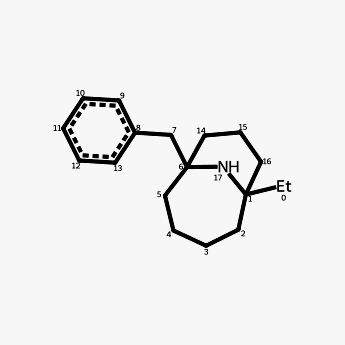 CCC12CCCCC(Cc3ccccc3)(CCC1)N2